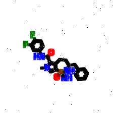 Cn1cc2c(c1C(=O)Nc1ccc(F)c(F)c1)CC[C@@H](Cc1ccccc1)NS2(=N)=O